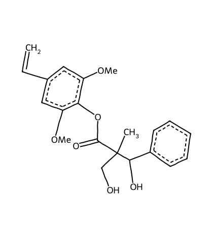 C=Cc1cc(OC)c(OC(=O)C(C)(CO)C(O)c2ccccc2)c(OC)c1